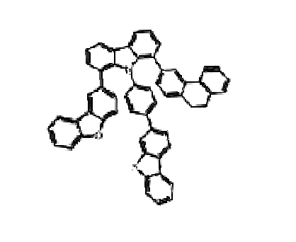 c1ccc2c(c#1)-c1cc(-c3cccc4c5cccc(-c6ccc7oc8ccccc8c7c6)c5n(-c5ccc(-c6ccc7c(c6)sc6ccccc67)cc5)c34)ccc1CC2